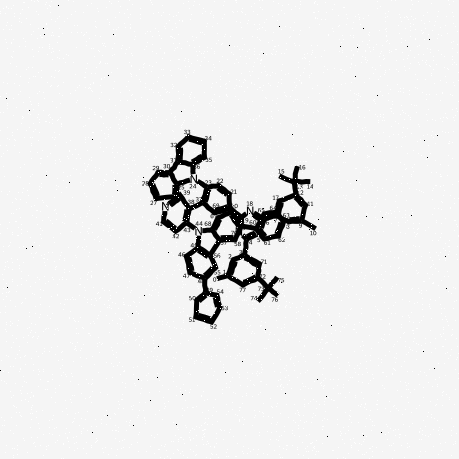 Cc1cc(-c2nc(-c3cc(C)cc(C(C)(C)C)c3)nc(-c3ccc(-n4c5ccccc5c5ccccc54)c(-c4cnccc4-n4c5ccc(-c6ccccc6)cc5c5cc(-c6ccccc6)ccc54)c3)n2)cc(C(C)(C)C)c1